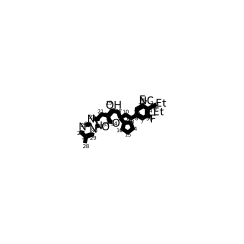 CCC(C#N)(CC)c1c(F)cc(CCC2(C3CCCC3)CC(O)=C(Cc3nc4ncc(C)cn4n3)C(=O)O2)cc1F